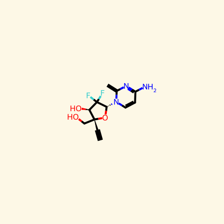 C#C[C@]1(CO)O[C@@H](N2C=CC(N)=NC2=C)C(F)(F)[C@@H]1O